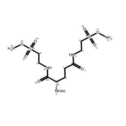 CC(=O)N[C@@H](CCC(=O)NCCS(=O)(=O)ON)C(=O)NCCS(=O)(=O)ON